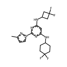 Cc1ccn(-c2nc(NC3CCC(F)(F)CC3)cc(NC3CC(F)(F)C3)n2)n1